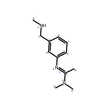 CNCc1cccc(/N=C(\C)N(C)C)c1